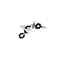 Cc1ccc(S(=O)(=O)OCCC(C)(C)OC(=O)N2CCCCC2)cc1